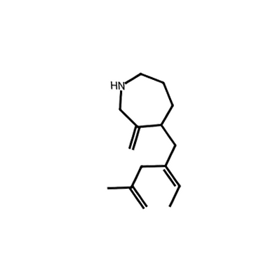 C=C(C)C/C(=C\C)CC1CCCNCC1=C